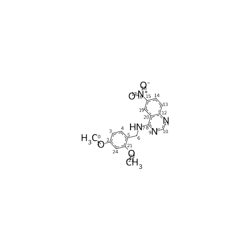 COc1ccc(CNc2ncnc3ccc([N+](=O)[O-])cc23)c(OC)c1